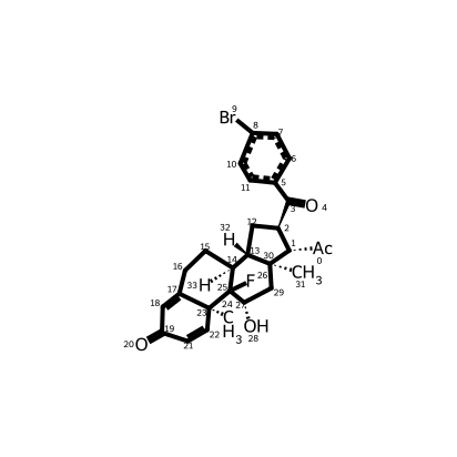 CC(=O)[C@H]1[C@H](C(=O)c2ccc(Br)cc2)C[C@H]2[C@@H]3CCC4=CC(=O)C=C[C@]4(C)C3(F)[C@@H](O)C[C@@]21C